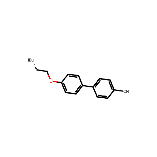 CC[C@@H](C)CCOc1ccc(-c2ccc(C#N)cc2)cc1